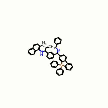 C=CC(Nc1c(C)ccc2ccccc12)c1cccc(/C(=N\Cc2ccccc2)c2ccc3c(c2)S(c2ccccc2)(c2ccccc2)c2ccccc2-3)c1